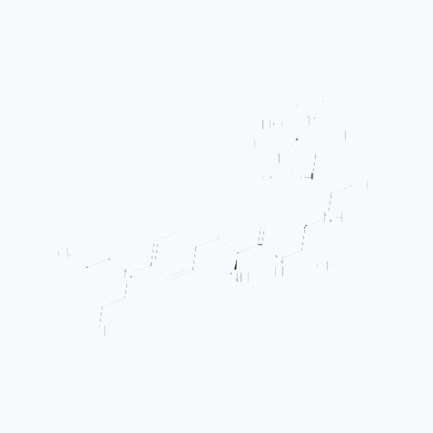 CC(CCC(O)(P(=O)(O)O)P(=O)(O)O)NC(=O)[C@H](C)NC(=O)[C@@H](N)Cc1ccc(N(CCCl)CCCl)cc1